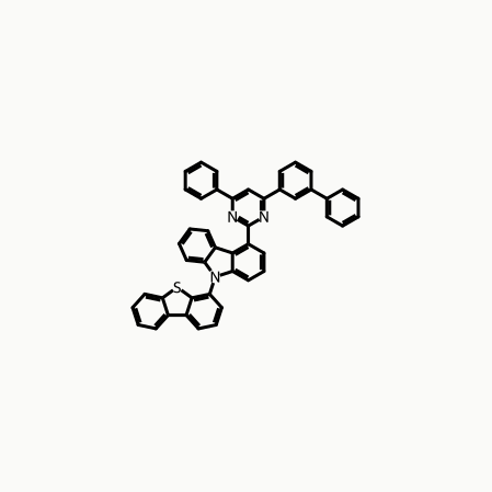 c1ccc(-c2cccc(-c3cc(-c4ccccc4)nc(-c4cccc5c4c4ccccc4n5-c4cccc5c4sc4ccccc45)n3)c2)cc1